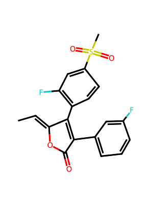 C/C=C1\OC(=O)C(c2cccc(F)c2)=C1c1ccc(S(C)(=O)=O)cc1F